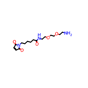 NCCOCCOCCNC(=O)CCCCCN1C(=O)C=CC1=O